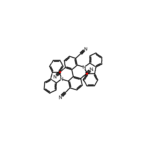 N#Cc1ccc(C#N)c(-n2c3ccccc3c3ccccc32)c1-c1c(C#N)ccc(C#N)c1-n1c2ccccc2c2ccccc21